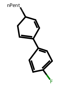 CCCCCC1C=CC(c2ccc(F)cc2)=CC1